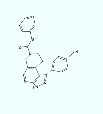 N#Cc1ccc(-c2n[nH]c3ncc4c(c23)CCN(C(=O)Nc2ccccc2)C4)cc1